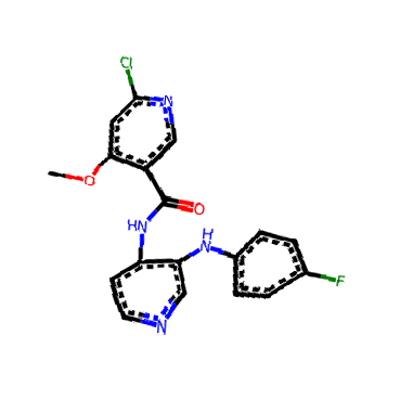 COc1cc(Cl)ncc1C(=O)Nc1ccncc1Nc1ccc(F)cc1